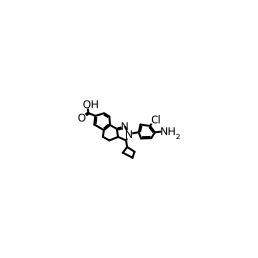 Nc1ccc(N2N=C3c4ccc(C(=O)O)cc4CCC3C2C2CCC2)cc1Cl